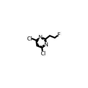 FCCc1nc(Cl)cc(Cl)n1